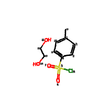 Cc1ccc(S(=O)(=O)Cl)cc1.OCCO